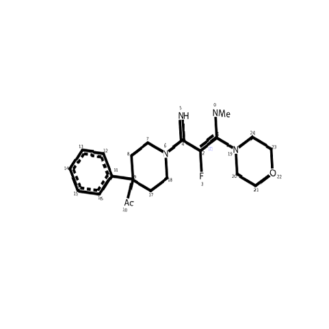 CN/C(=C(/F)C(=N)N1CCC(C(C)=O)(c2ccccc2)CC1)N1CCOCC1